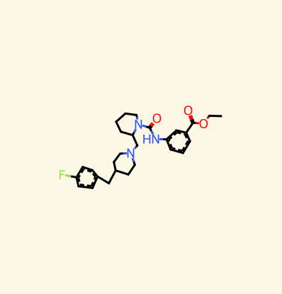 CCOC(=O)c1cccc(NC(=O)N2CCCCC2CN2CCC(Cc3ccc(F)cc3)CC2)c1